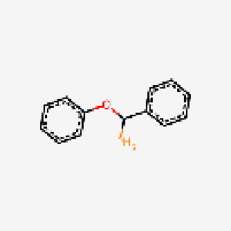 PC(Oc1ccccc1)c1ccccc1